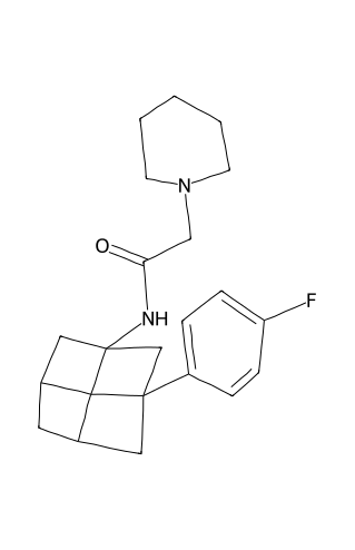 O=C(CN1CCCCC1)NC12CC3CC4CC(c5ccc(F)cc5)(C1)C342